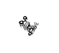 O=C(N[C@H]1N=C(c2ccccc2)c2ccccc2NC1=O)c1c(-c2c(F)cccc2F)nn2c1O[C@H](CO)CC2